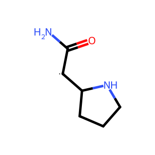 NC(=O)[CH]C1CCCN1